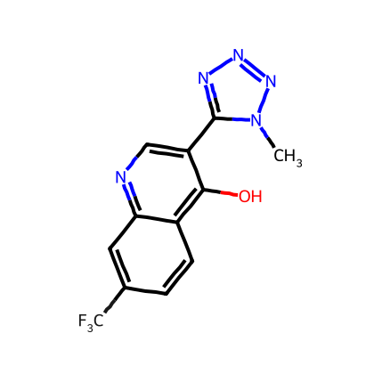 Cn1nnnc1-c1cnc2cc(C(F)(F)F)ccc2c1O